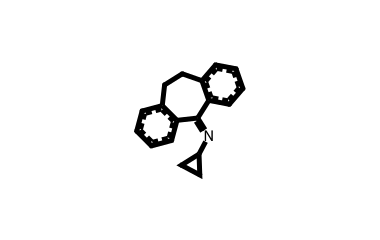 c1ccc2c(c1)CCc1ccccc1C2=NC1CC1